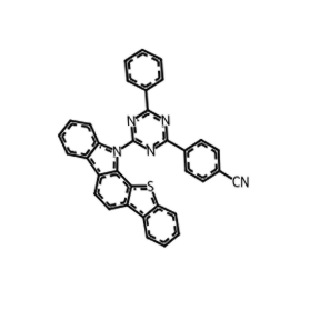 N#Cc1ccc(-c2nc(-c3ccccc3)nc(-n3c4ccccc4c4ccc5c6ccccc6sc5c43)n2)cc1